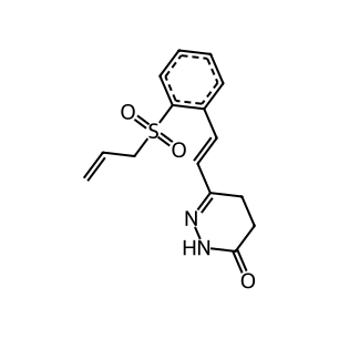 C=CCS(=O)(=O)c1ccccc1C=CC1=NNC(=O)CC1